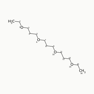 CCOCCCOCCCOCCCOCC